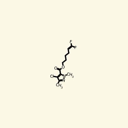 Cc1nn(C)c(C(=O)OCCCCC=C(F)F)c1Cl